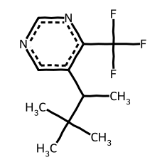 CC(c1cncnc1C(F)(F)F)C(C)(C)C